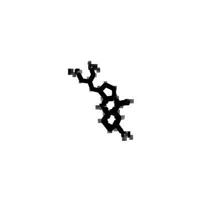 CCC(CC)CC1CCn2c1nc1ccc(C)cc1c2=O